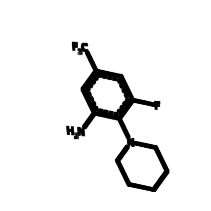 Nc1cc(C(F)(F)F)cc(F)c1N1CCCCC1